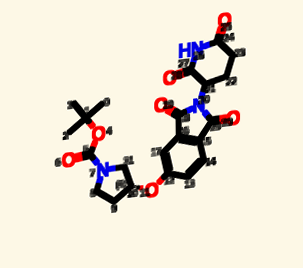 CC(C)(C)OC(=O)N1CC[C@@H](Oc2ccc3c(c2)C(=O)N(C2CCC(=O)NC2=O)C3=O)C1